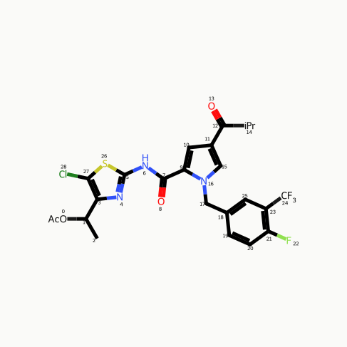 CC(=O)OC(C)c1nc(NC(=O)c2cc(C(=O)C(C)C)cn2Cc2ccc(F)c(C(F)(F)F)c2)sc1Cl